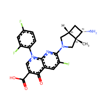 C[C@@]12CN(c3nc4c(cc3F)c(=O)c(C(=O)O)cn4-c3ccc(F)cc3F)C[C@@H]1C[C@@H]2N